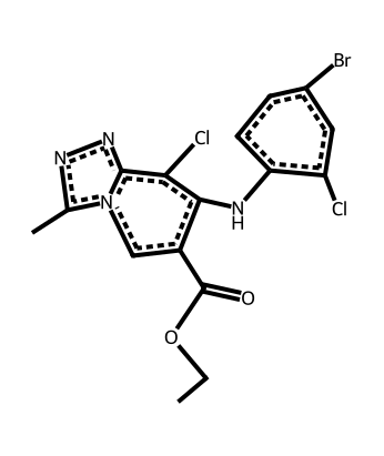 CCOC(=O)c1cn2c(C)nnc2c(Cl)c1Nc1ccc(Br)cc1Cl